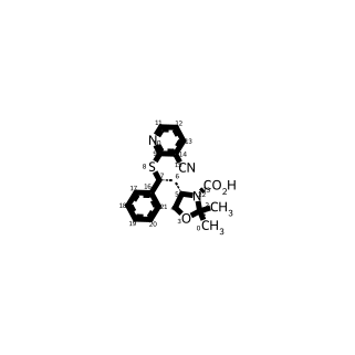 CC1(C)OC[C@H](C[C@@H](Sc2ncccc2C#N)c2ccccc2)N1C(=O)O